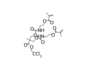 C=C(C)C(=O)OCCNC(=O)OCC(C)(COC(=O)NCCOC(=O)C(=C)C)C(=O)OCC(Cl)(Cl)Cl